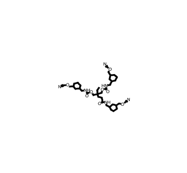 CCC(CCC(=O)NCC1CCCC(COC#N)C1)(COC(=O)NCC1CCCC(COC#N)C1)COC(=O)NCC1CCCC(COC#N)C1